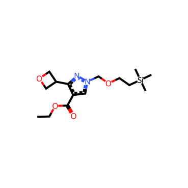 CCOC(=O)c1cn(COCC[Si](C)(C)C)nc1C1COC1